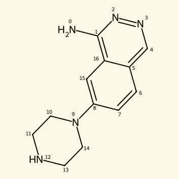 Nc1nncc2ccc(N3CCNCC3)cc12